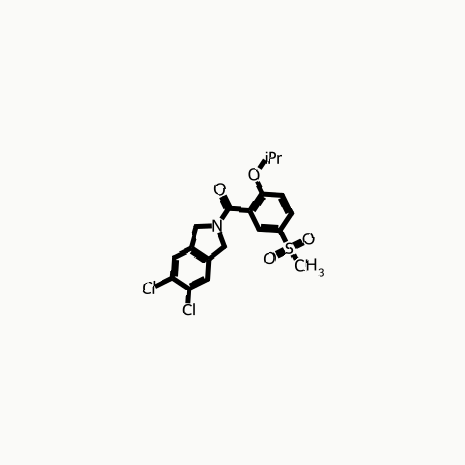 CC(C)Oc1ccc(S(C)(=O)=O)cc1C(=O)N1Cc2cc(Cl)c(Cl)cc2C1